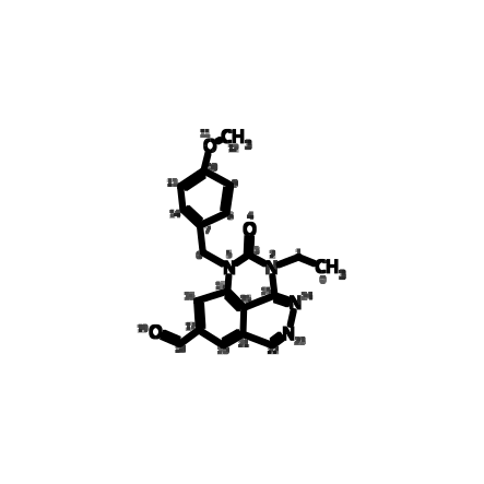 CCN1C(=O)N(Cc2ccc(OC)cc2)c2cc(C=O)cc3cnnc1c23